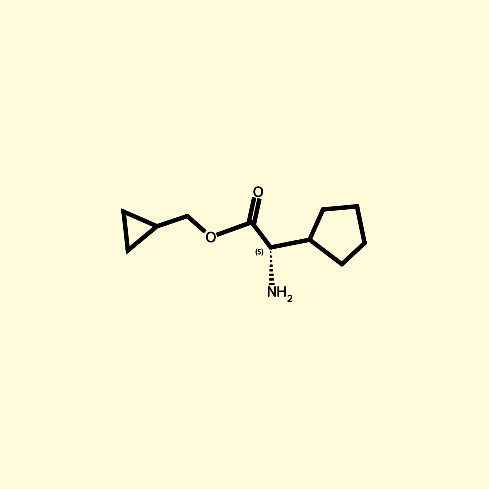 N[C@H](C(=O)OCC1CC1)C1CCCC1